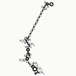 C=C1C(=O)c2cc(OC)c(OCCCOc3cc4c(cc3OC)C(=O)N3C=C(c5ccc(NC(=O)[C@H](C)/C=C/C(=O)C(NC(=O)CCOCCOCCOCCOCCOCCOCCOCCOCCNC(=O)CCC6C(=O)CC(C7CCCCCC7)C6=O)C(C)C)cc5)C[C@H]3C=N4)cc2C=C=C[C@@H]1C/C(=C\C)C1CC1